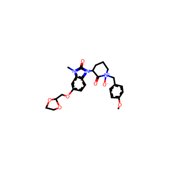 COc1ccc(C[N+]2([O-])CCCC(n3c(=O)n(C)c4cc(OCC5OCCO5)ccc43)C2=O)cc1